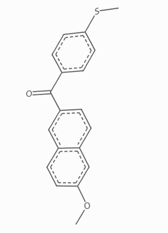 COc1ccc2cc(C(=O)c3ccc(SC)cc3)ccc2c1